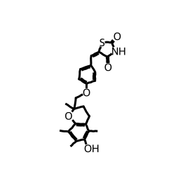 Cc1c(C)c2c(c(C)c1O)CCC(C)(COc1ccc(/C=C3/SC(=O)NC3=O)cc1)O2